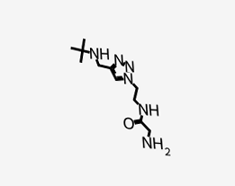 CC(C)(C)NCc1cn(CCNC(=O)CN)nn1